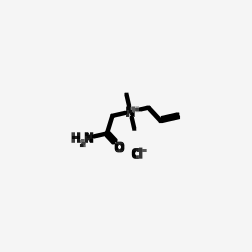 C=CC[N+](C)(C)CC(N)=O.[Cl-]